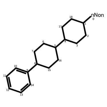 CCCCCCCCCC1CCC(C2CCC(c3ccccc3)CC2)CC1